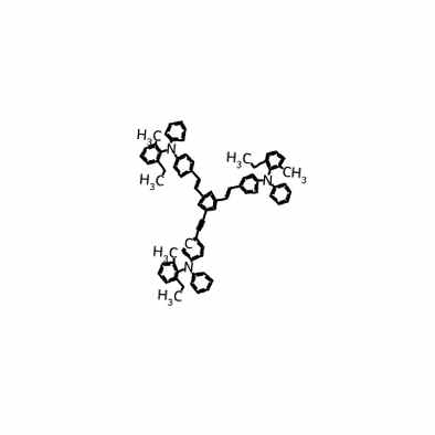 CCc1cccc(C)c1N(c1ccccc1)c1ccc(C#Cc2cc(/C=C/c3ccc(N(c4ccccc4)c4c(C)cccc4CC)cc3)cc(/C=C/c3ccc(N(c4ccccc4)c4c(C)cccc4CC)cc3)c2)cc1